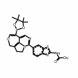 CC1(C)OB(C2=COCC3=C4C2=CN=C(c2ccc5nc(NC(=O)O)sc5c2)N4CC3)OC1(C)C